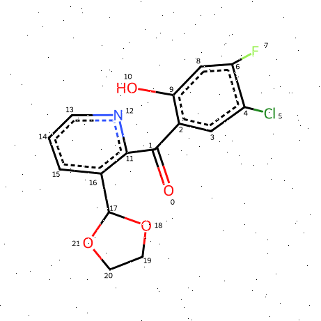 O=C(c1cc(Cl)c(F)cc1O)c1ncccc1C1OCCO1